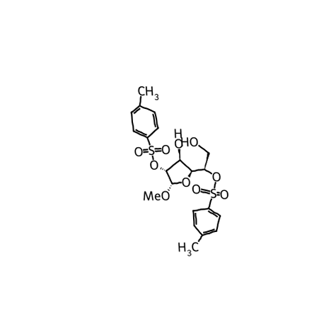 CO[C@H]1O[C@H]([C@@H](CO)OS(=O)(=O)c2ccc(C)cc2)[C@H](O)[C@H]1OS(=O)(=O)c1ccc(C)cc1